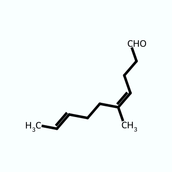 CC=CCCC(C)=CCCC=O